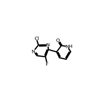 O=c1[nH]cccc1-c1nc(Cl)ncc1F